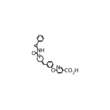 O=C(O)c1ccc(Oc2cccc(C=C3CCN(C(=O)NC4CC4c4ccccc4)CC3)c2)nc1